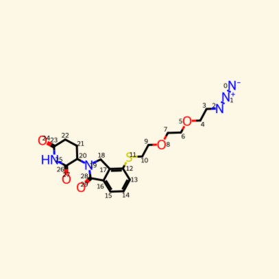 [N-]=[N+]=NCCOCCOCCSc1cccc2c1CN(C1CCC(=O)NC1=O)C2=O